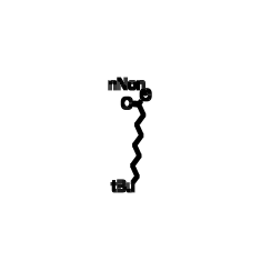 CCCCCCCCCOC(=O)CCCCCCCC(C)(C)C